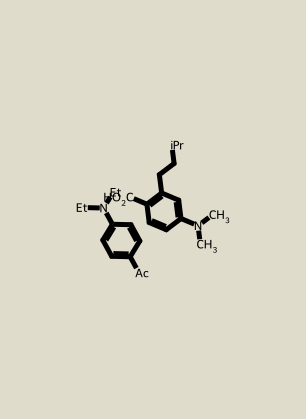 CC(C)CCc1cc(N(C)C)ccc1C(=O)O.CCN(CC)c1ccc(C(C)=O)cc1